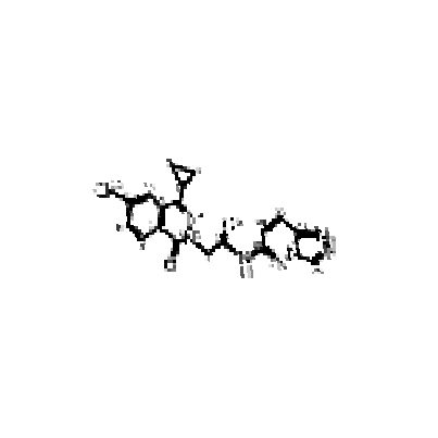 O=C(Cn1nc(C2CC2)c2cc(Cl)ccc2c1=O)Nc1ccc2nncn2n1